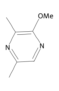 COc1ncc(C)nc1C